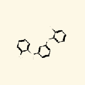 O=[N+]([O-])c1ccccc1Nc1cccc(Nc2ccccc2[N+](=O)[O-])c1